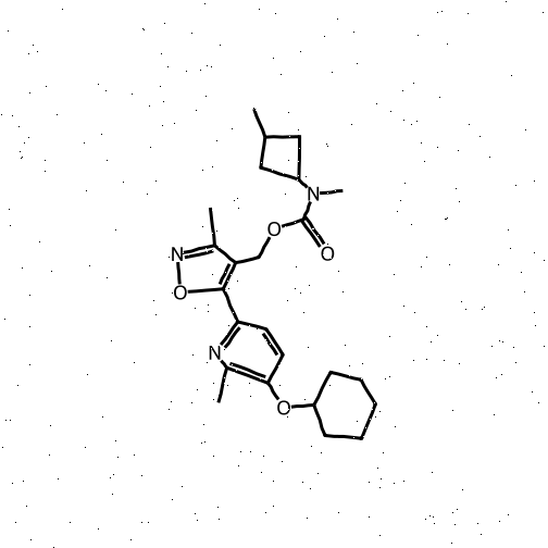 Cc1nc(-c2onc(C)c2COC(=O)N(C)C2CC(C)C2)ccc1OC1CCCCC1